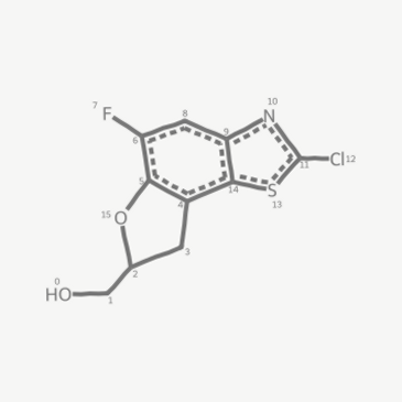 OCC1Cc2c(c(F)cc3nc(Cl)sc23)O1